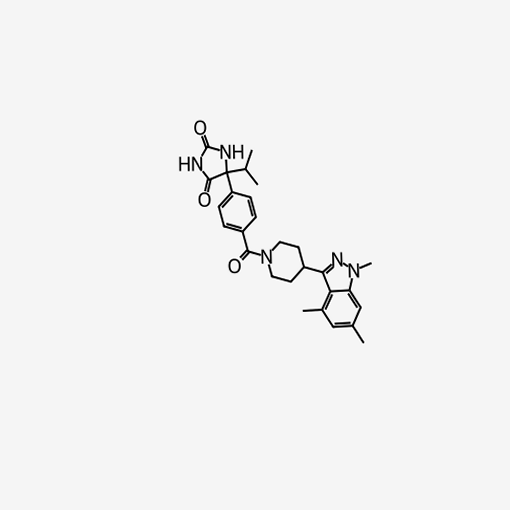 Cc1cc(C)c2c(C3CCN(C(=O)c4ccc(C5(C(C)C)NC(=O)NC5=O)cc4)CC3)nn(C)c2c1